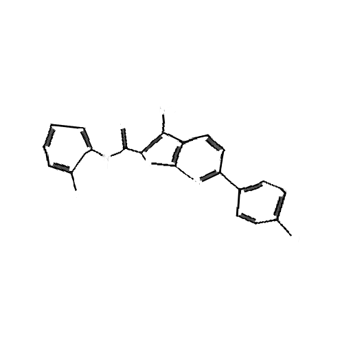 Nc1c(C(=O)Nc2ccccc2Br)sc2nc(-c3ccc(Cl)cc3)ccc12